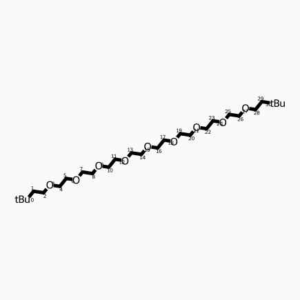 CC(C)(C)CCOCCOCCOCCOCCOCCOCCOCCOCCOCCC(C)(C)C